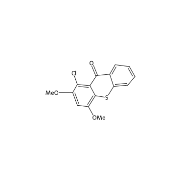 COc1cc(OC)c2sc3ccccc3c(=O)c2c1Cl